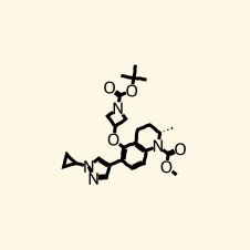 COC(=O)N1c2ccc(-c3cnn(C4CC4)c3)c(OC3CN(C(=O)OC(C)(C)C)C3)c2CC[C@@H]1C